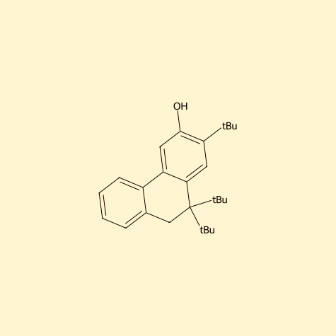 CC(C)(C)c1cc2c(cc1O)-c1ccccc1CC2(C(C)(C)C)C(C)(C)C